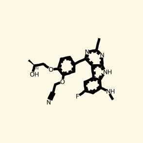 CNc1cc(F)cc2c1[nH]c1nc(C)nc(-c3ccc(OC[C@H](C)O)c(OCC#N)c3)c12